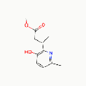 COC(=O)CC(C)c1nc(C)ccc1O